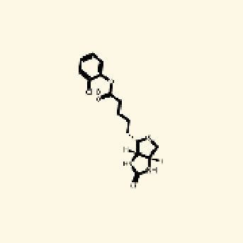 O=Cc1ccccc1OC(=O)CCCC[C@@H]1SC[C@@H]2NC(=O)N[C@@H]21